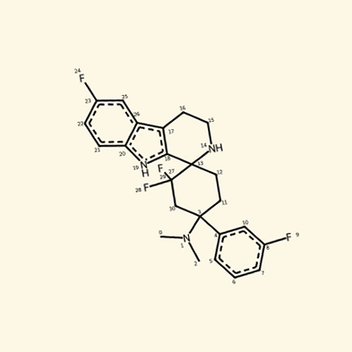 CN(C)C1(c2cccc(F)c2)CCC2(NCCc3c2[nH]c2ccc(F)cc32)C(F)(F)C1